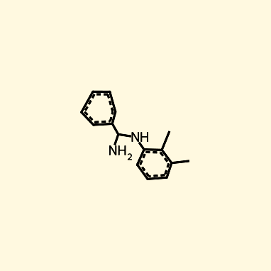 Cc1cccc(NC(N)c2ccccc2)c1C